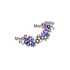 COC[C@H](NC(=O)OC)C(=O)N1C(c2nc3ccc4cc5c(cc4c3[nH]2)OCc2cc(-c3cnc([C@@H]4CC[C@H](C)N4C(=O)[C@@H](NC(=O)OC)C(C)C)[nH]3)ccc2-5)CC[C@@H]1C